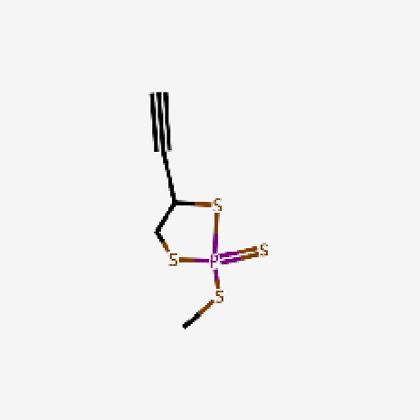 C#CC1CSP(=S)(SC)S1